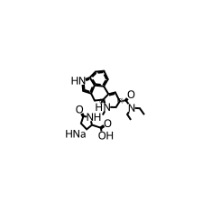 CCN(CC)C(=O)[C@@H]1C=C2c3cccc4[nH]cc(c34)C[C@H]2N(C)C1.O=C1CCC(C(=O)O)N1.[NaH]